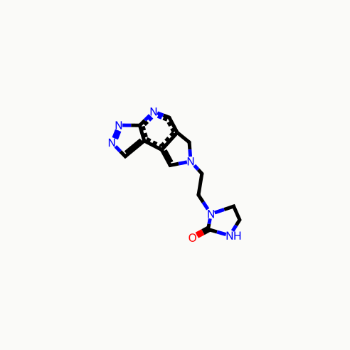 O=C1NCCN1CCN1C=c2c(cnc3c2=CN=N3)C1